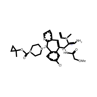 C=CN(C)/C(=C\N)[C@H](NC(=O)COC)C1=Cc2cccnc2[C@@H](N2CCN(C(=O)OC3(C)CC3)CC2)c2ccc(Cl)cc21